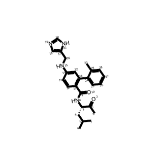 CC(=O)[C@H](CC(C)C)NC(=O)c1ccc(NCc2cnc[nH]2)cc1-c1ccccc1C